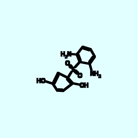 Nc1cccc(N)c1S(=O)(=O)c1cc(O)ccc1O